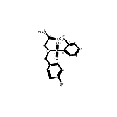 COC(=O)CN(Cc1ccc(Br)cc1)S(=O)(=O)c1ccccc1[N+](=O)[O-]